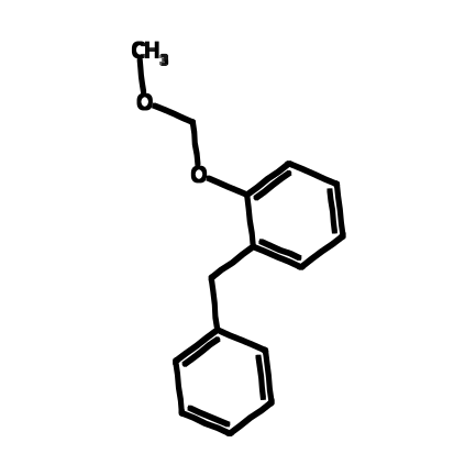 COCOc1ccccc1Cc1ccccc1